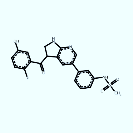 CS(=O)(=O)Nc1cccc(-c2cnc3c(c2)C(C(=O)c2cc(O)ccc2F)CN3)c1